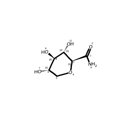 NC(=O)[C@H]1OC[C@H](O)[C@@H](O)[C@@H]1O